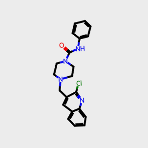 O=C(Nc1ccccc1)N1CCN(Cc2cc3ccccc3nc2Cl)CC1